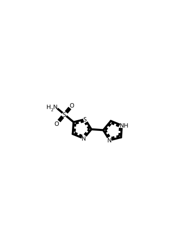 NS(=O)(=O)c1cnc(-c2c[nH]cn2)s1